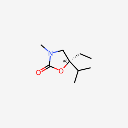 CC[C@@]1(C(C)C)CN(C)C(=O)O1